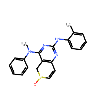 Cc1ccccc1Nc1nc2c(c(N(C)c3ccccc3)n1)C[S+]([O-])C=C2